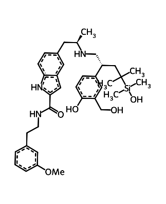 COc1cccc(CCNC(=O)c2cc3cc(C[C@@H](C)NC[C@H](CC(C)(C)[Si](C)(C)O)c4ccc(O)c(CO)c4)ccc3[nH]2)c1